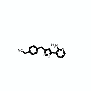 N#CCc1ccc(Cc2cc(-c3cccnc3N)on2)cc1